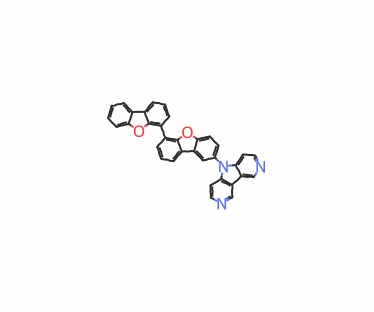 c1ccc2c(c1)oc1c(-c3cccc4c3oc3ccc(-n5c6ccncc6c6cnccc65)cc34)cccc12